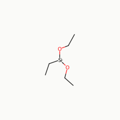 CCO[Si](CC)OCC